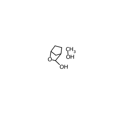 CO.OC1OC2CCC1C2